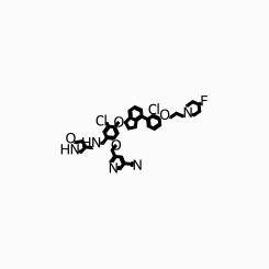 N#Cc1cncc(COc2cc(O[C@H]3CCc4c(-c5cccc(OCCCN6CCC(F)CC6)c5Cl)cccc43)c(Cl)cc2CNCC2CNC(=O)C2)c1